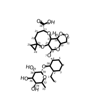 CC[C@@H]1CCC[C@@H](O[C@@H]2OC3COO[C@@H]3C3O[C@@H](C(=O)O)CCC4(CC4)OC32)C1O[C@@H]1OC(C)[C@@H](O)C(O)[C@@H]1O